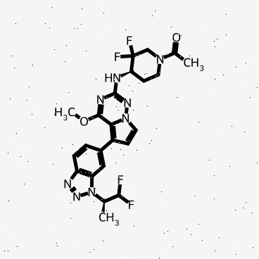 COc1nc(N[C@@H]2CCN(C(C)=O)CC2(F)F)nn2ccc(-c3ccc4nnn([C@H](C)C(F)F)c4c3)c12